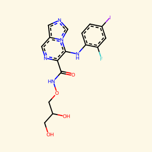 O=C(NOCC(O)CO)c1ncc2cncn2c1Nc1ccc(I)cc1F